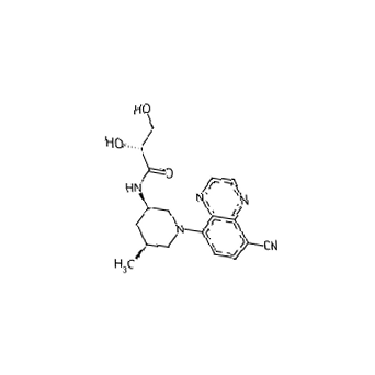 C[C@H]1C[C@@H](NC(=O)[C@H](O)CO)CN(c2ccc(C#N)c3nccnc23)C1